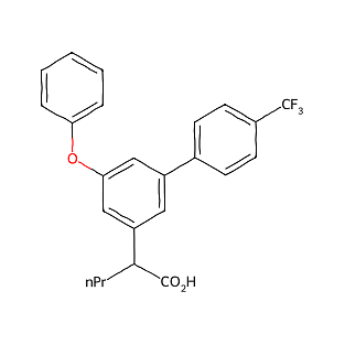 CCCC(C(=O)O)c1cc(Oc2ccccc2)cc(-c2ccc(C(F)(F)F)cc2)c1